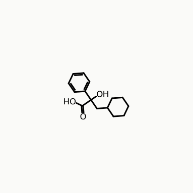 O=C(O)C(O)(CC1CCCCC1)c1ccccc1